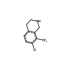 FC(F)(F)c1c(Cl)ccc2c1CNCC2